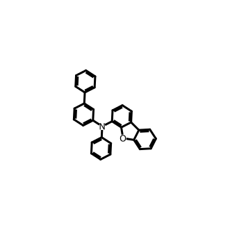 c1ccc(-c2cccc(N(c3ccccc3)c3cccc4c3oc3ccccc34)c2)cc1